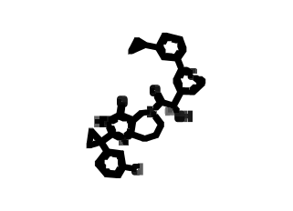 O=C([C@H](O)c1cccc(-c2cccc(C3CC3)c2)c1)N1CCCc2nc(C3(c4cccc(Cl)c4)CC3)[nH]c(=O)c2C1